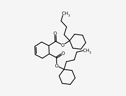 CCCCC1(OC(=O)C2CC=CCC2C(=O)OC2(CCCC)CCCCC2)CCCCC1